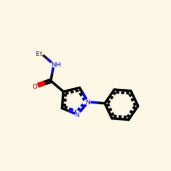 CCNC(=O)c1cnn(-c2ccccc2)c1